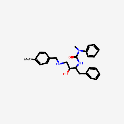 COc1ccc(CNCC(O)C(Cc2ccccc2)NC(=O)N(C)c2ccccc2)cc1